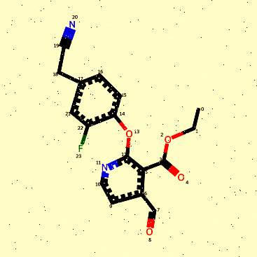 CCOC(=O)c1c(C=O)ccnc1Oc1ccc(CC#N)cc1F